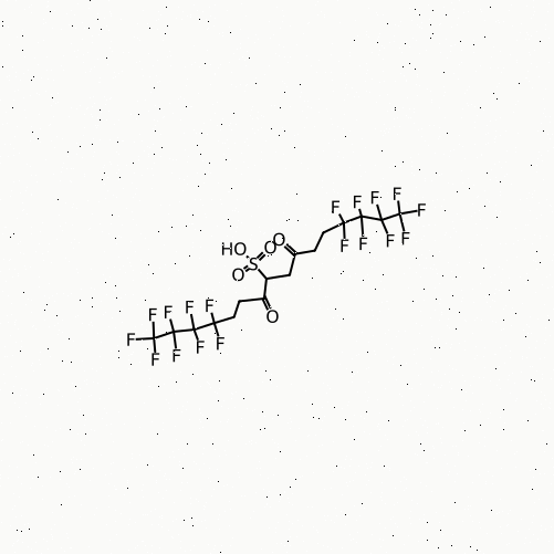 O=C(CCC(F)(F)C(F)(F)C(F)(F)C(F)(F)F)CC(C(=O)CCC(F)(F)C(F)(F)C(F)(F)C(F)(F)F)S(=O)(=O)O